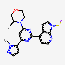 CC1COCCN1c1cc(-c2ccnn2C)nc(-c2ccnc3c2ccn3SI)n1